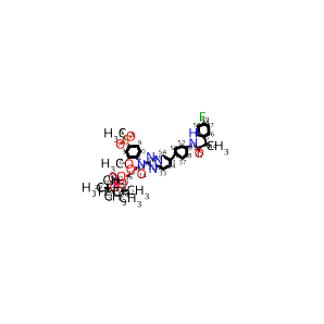 COc1cc(S(C)(=O)=O)ccc1N(C(=O)OCOP(=O)(OC(C)(C)C)OC(C)(C)C)c1nc2ccc(-c3ccc(NC(=O)[C@H](C)c4ccc(F)cc4)cc3)cn2n1